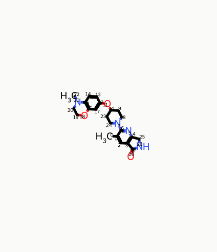 Cc1cc2c(nc1N1CCC(Oc3ccc4c(c3)OCCN4C)CC1)CNC2=O